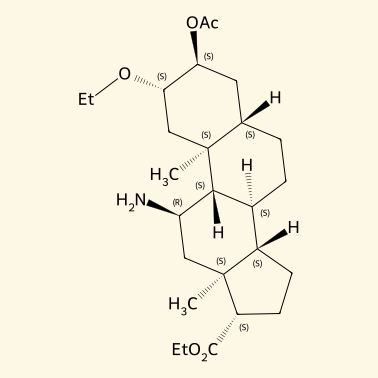 CCOC(=O)[C@H]1CC[C@H]2[C@@H]3CC[C@H]4C[C@H](OC(C)=O)[C@@H](OCC)C[C@]4(C)[C@H]3[C@H](N)C[C@]12C